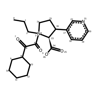 CCC[N+]1(C(=O)C(=O)C2CCCCC2)CCC(c2cccnc2)[C@H]1C(=O)[O-]